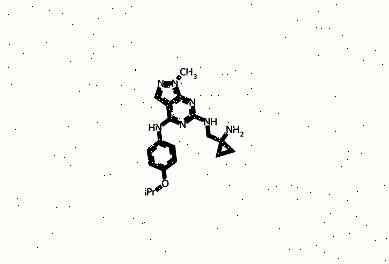 CC(C)Oc1ccc(Nc2nc(NCC3(N)CC3)nc3c2cnn3C)cc1